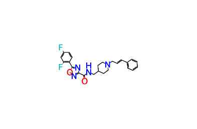 O=C(NCC1CCN(CC=Cc2ccccc2)CC1)c1noc(-c2ccc(F)cc2F)n1